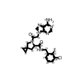 Nc1ncnc2c1ncn2CC(=O)N1CC2(CC2)CC1C(=O)NCc1cccc(Cl)c1F